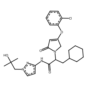 CC(C)(O)Cn1ccc(NC(=O)C(CC2CCCCC2)N2CC(Oc3ccccc3Cl)=CC2=O)n1